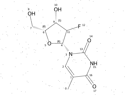 Cc1cn([C@@H]2O[C@H](CO)[C@H](O)C2F)c(=O)[nH]c1=O